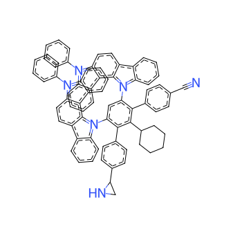 N#Cc1ccc(-c2c(-n3c4ccccc4c4ccc5c(c6ccccc6n5-c5ccccc5)c43)cc(-n3c4ccccc4c4ccc5c(c6ccccc6n5-c5ccccc5)c43)c(-c3ccc(C4CN4)cc3)c2C2CCCCC2)cc1